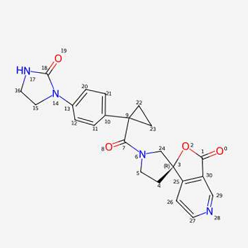 O=C1O[C@]2(CCN(C(=O)C3(c4ccc(N5CCNC5=O)cc4)CC3)C2)c2ccncc21